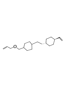 C=CCOCC1CCC(CC[C@H]2CC[C@H](C=C)CC2)CC1